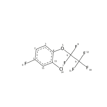 Fc1ccc(OC(F)(F)C(F)(F)F)c(Cl)c1